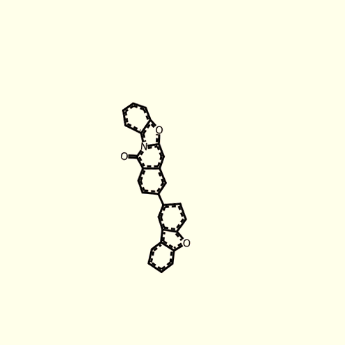 O=c1c2ccc(-c3ccc4oc5ccccc5c4c3)cc2cc2oc3ccccc3n12